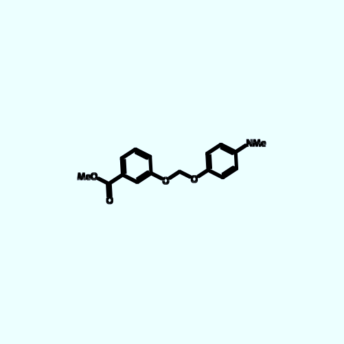 CNc1ccc(OCOc2cccc(C(=O)OC)c2)cc1